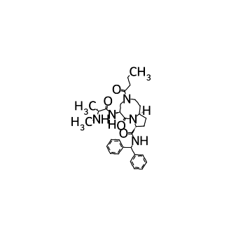 CCCC(=O)N1CC[C@H]2CC[C@@H](C(=O)NC(c3ccccc3)c3ccccc3)N2C(=O)[C@@H](NC(=O)[C@H](C)NC)C1